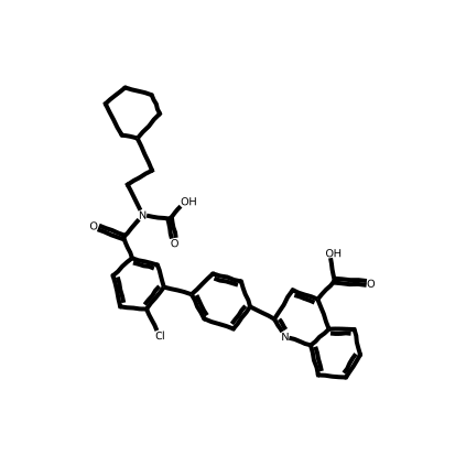 O=C(O)c1cc(-c2ccc(-c3cc(C(=O)N(CCC4CCCCC4)C(=O)O)ccc3Cl)cc2)nc2ccccc12